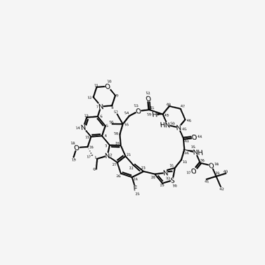 CCn1c(-c2cc(N3CCOCC3)cnc2[C@H](C)OC)c2c3cc(c(F)cc31)-c1csc(n1)C[C@H](NC(=O)OC(C)(C)C)C(=O)N1CCC[C@H](N1)C(=O)OCC(C)(C)C2